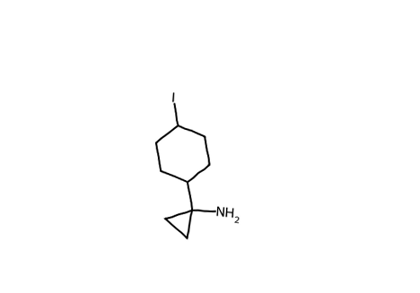 NC1(C2CCC(I)CC2)CC1